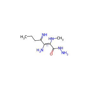 CCCC(=N)/C(N)=C(\NC)C(=O)NN